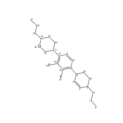 CCCC1C=CC(c2ccc(C3CCC(CCC)OC3)c(F)c2F)CC1